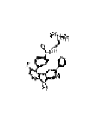 CC(C)N(CCNC(=O)c1ccc(-c2c(F)cnc3[nH]c4cnc(-c5cccnc5)cc4c23)cc1)C(C)C